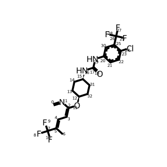 C=N/C(=C\C=C(/C)C(F)(F)F)O[C@H]1CC[C@H](NC(=O)Nc2ccc(Cl)c(C(F)(F)F)c2)CC1